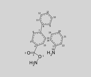 NOC(=O)c1ccc(-c2ccccc2)cc1.Nc1ccccc1